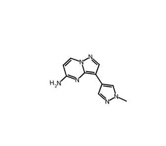 Cn1cc(-c2cnn3ccc(N)nc23)cn1